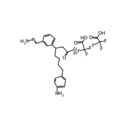 NN=Cc1cccc(C(CCCCc2ccc(N)cc2)CC(=O)O)c1.O=C(O)C(F)(F)F.O=C(O)C(F)(F)F